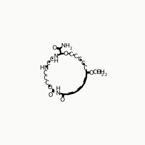 NC(=O)C1NCCNCC[CH]OC(=O)NC(=O)C=CC=CC=CC(=O)CCCCCO1.[CH2].[CH2]